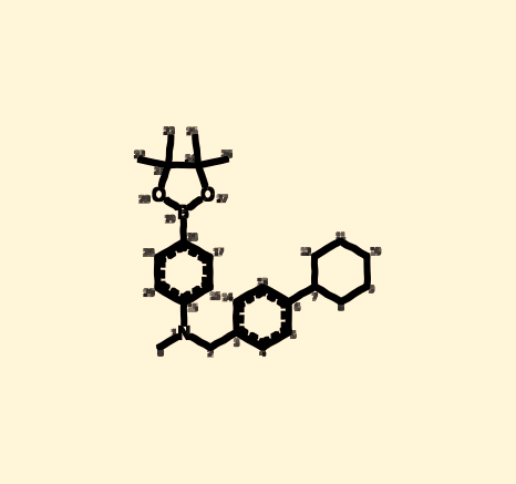 CN(Cc1ccc(C2CCCCC2)cc1)c1ccc(B2OC(C)(C)C(C)(C)O2)cc1